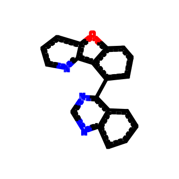 c1ccc2c(-c3cccc4oc5cccnc5c34)ncnc2c1